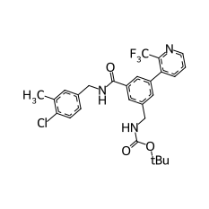 Cc1cc(CNC(=O)c2cc(CNC(=O)OC(C)(C)C)cc(-c3cccnc3C(F)(F)F)c2)ccc1Cl